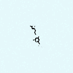 CON=Cc1cc(C)c(OCCCc2cc(C)no2)c(C)c1